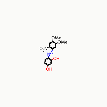 COc1cc(N=Nc2ccc(O)cc2O)c([N+](=O)[O-])cc1OC